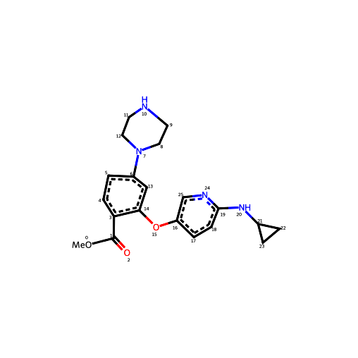 COC(=O)c1ccc(N2CCNCC2)cc1Oc1ccc(NC2CC2)nc1